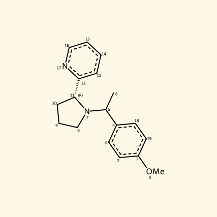 COc1ccc(C(C)N2CCC[C@@H]2c2ccccn2)cc1